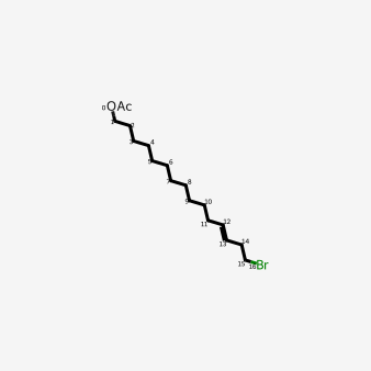 CC(=O)OCCCCCCCCCCC/C=C/CCBr